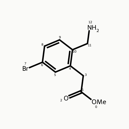 COC(=O)Cc1cc(Br)ccc1CN